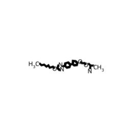 CCCCCCCCOc1cnc(-c2ccc(-c3ccc(OCCOCC(C#N)CC)cc3)cc2)nc1